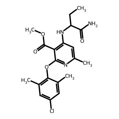 CCC(Nc1cc(C)nc(Oc2c(C)cc(Cl)cc2C)c1C(=O)OC)C(N)=O